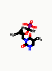 Cc1c[nH]c(=O)n(CC2(OC(C(C)C)(C(C)C)P(=O)(O)O)CC2C)c1=O